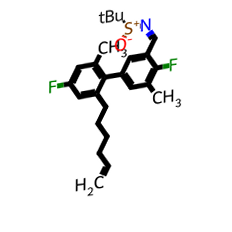 C=CCCCCc1cc(F)cc(C)c1-c1cc(C)c(F)c(/C=N\[S@+]([O-])C(C)(C)C)c1